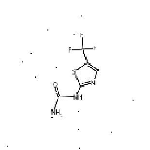 NC(=O)Nc1ncc(C(F)(F)F)s1